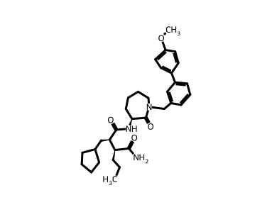 CCC[C@H](C(N)=O)[C@@H](CC1CCCC1)C(=O)N[C@H]1CCCCN(Cc2cccc(-c3ccc(OC)cc3)c2)C1=O